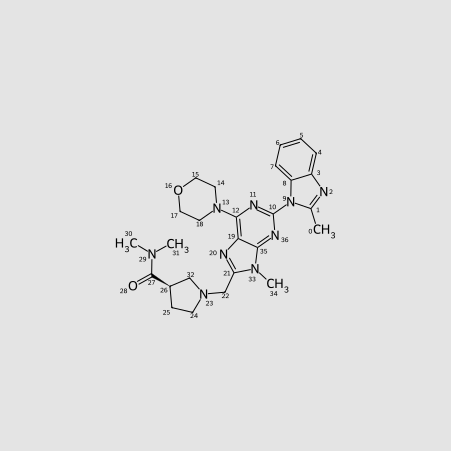 Cc1nc2ccccc2n1-c1nc(N2CCOCC2)c2nc(CN3CC[C@@H](C(=O)N(C)C)C3)n(C)c2n1